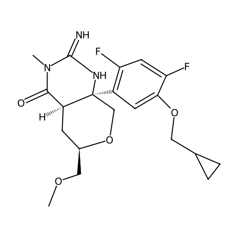 COC[C@H]1C[C@H]2C(=O)N(C)C(=N)N[C@@]2(c2cc(OCC3CC3)c(F)cc2F)CO1